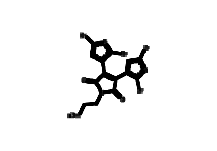 CCCCCCCCCCCCN1C(=O)C(c2cc(Br)sc2Br)=C(c2cc(Br)sc2Br)C1=O